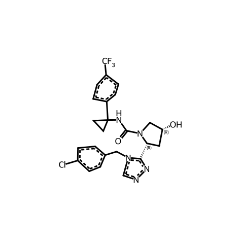 O=C(NC1(c2ccc(C(F)(F)F)cc2)CC1)N1C[C@H](O)C[C@@H]1c1nncn1Cc1ccc(Cl)cc1